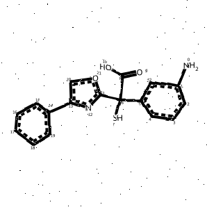 Nc1cccc(C(S)(C(=O)O)c2nc(-c3ccccc3)co2)c1